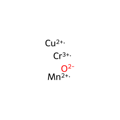 [Cr+3].[Cu+2].[Mn+2].[O-2]